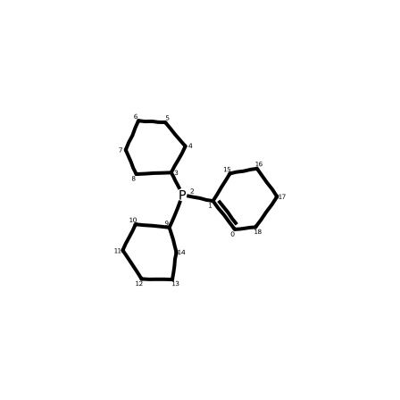 C1=C(P(C2CCCCC2)C2CCCCC2)CCCC1